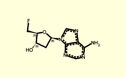 Nc1ncnc2c1ncn2[C@H]1C[C@H](O)[C@@H](CF)O1